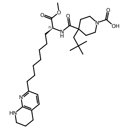 COC(=O)[C@H](CCCCCCCc1ccc2c(n1)NCCC2)NC(=O)C1(CC(C)(C)C)CCN(C(=O)O)CC1